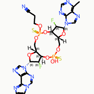 Cc1ncnc2c1ncn2[C@@H]1O[C@@H]2COP(O)(=S)O[C@H]3[C@@H](F)[C@H](n4cnc5c4ncn4ccnc54)O[C@@H]3COP(=S)(OCCC#N)O[C@H]2[C@H]1F